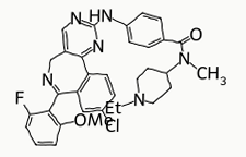 CCN1CCC(N(C)C(=O)c2ccc(Nc3ncc4c(n3)-c3ccc(Cl)cc3C(c3c(F)cccc3OC)=NC4)cc2)CC1